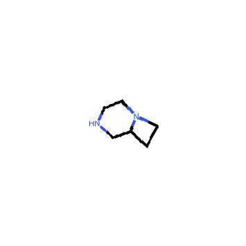 C1CN2CC[C]2CN1